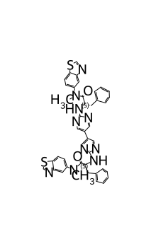 CN(C(=O)[C@H](Cc1ccccc1)Nc1ncc(-c2cnc(N[C@@H](Cc3ccccc3)C(=O)N(C)c3ccc4scnc4c3)nc2)cn1)c1ccc2scnc2c1